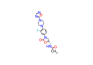 CC(=O)NC[C@H]1CN(c2ccc(N3CCN(c4ncno4)CC3)c(F)c2)C(=O)O1